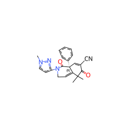 Cn1ccc(N2CC=C3C(C)(C)C(=O)C(C#N)=C[C@]3(c3ccccc3)C2=O)n1